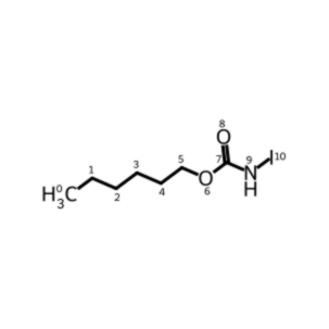 CCCCCCOC(=O)NI